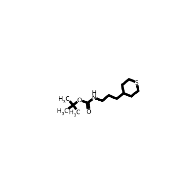 CC(C)(C)OC(=O)NCCCC1CCSCC1